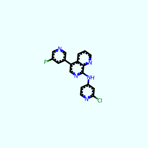 Fc1cncc(-c2cnc(Nc3ccnc(Cl)c3)c3ncccc23)c1